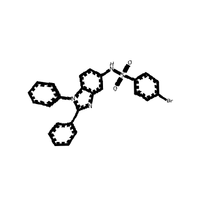 O=S(=O)(Nc1ccc2c(c1)nc(-c1ccccc1)n2-c1ccccc1)c1ccc(Br)cc1